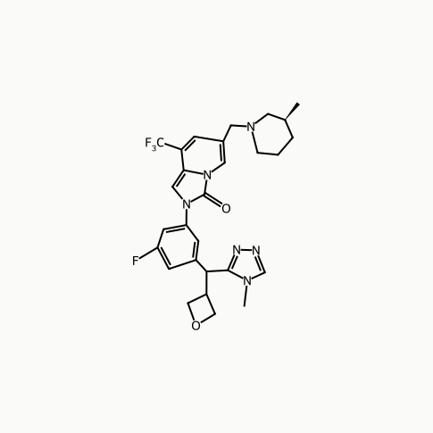 C[C@H]1CCCN(Cc2cc(C(F)(F)F)c3cn(-c4cc(F)cc(C(c5nncn5C)C5COC5)c4)c(=O)n3c2)C1